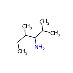 CC[C@H](C)C(N)C(C)C